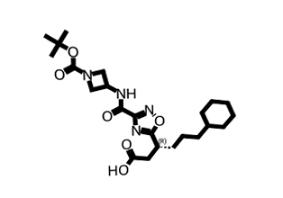 CC(C)(C)OC(=O)N1CC(NC(=O)c2noc([C@H](CCCC3CCCCC3)CC(=O)O)n2)C1